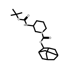 CC(C)(C)OC(=O)NC1CCCN(C(=O)OC2C3CC4CC(C3)CC2C4)C1